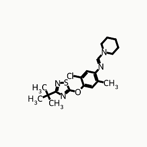 Cc1cc(Oc2nc(C(C)(C)C)ns2)c(Cl)cc1N=CN1CCCCC1